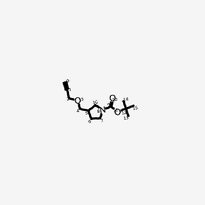 C#CCOCC1CCN(C(=O)OC(C)(C)C)C1